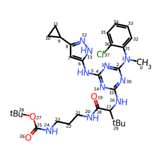 CN(c1nc(Nc2cc(C3CC3)n[nH]2)nc(NC(C(=O)NCCCNC(=O)OC(C)(C)C)C(C)(C)C)n1)c1ccccc1Cl